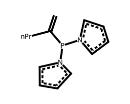 C=C(CCC)P(n1cccc1)n1cccc1